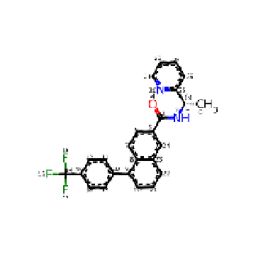 C[C@H](NC(=O)c1ccc2c(-c3ccc(C(F)(F)F)cc3)cccc2c1)c1ccccn1